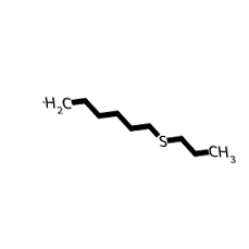 [CH2]CCCCCSCCC